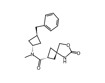 CN(C(=O)[C@H]1C[C@]2(COC(=O)N2)C1)[C@H]1C[C@H](Cc2ccccc2)C1